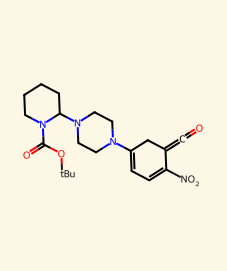 CC(C)(C)OC(=O)N1CCCCC1N1CCN(C2=CC=C([N+](=O)[O-])C(=C=O)C2)CC1